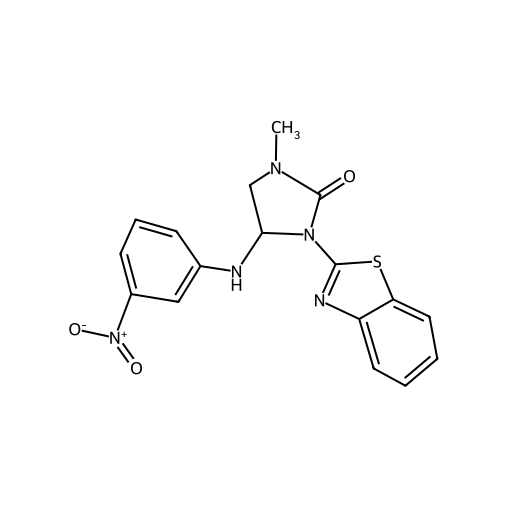 CN1CC(Nc2cccc([N+](=O)[O-])c2)N(c2nc3ccccc3s2)C1=O